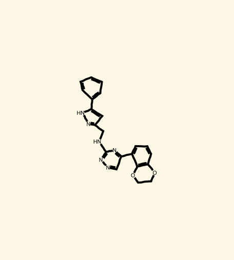 c1ccc(-c2cc(CNc3nncc(-c4cccc5c4OCCO5)n3)n[nH]2)cc1